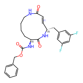 O=C1/C=C/[C@H](Cc2cc(F)cc(F)c2)NC(=O)[C@@H](NC(=O)OCc2ccccc2)CCCCN1